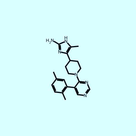 Cc1ccc(C)c(-c2cncnc2N2CCC(c3nc(N)[nH]c3C)CC2)c1